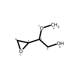 COC(CO)C1CO1